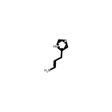 NC=CCc1cnc[nH]1